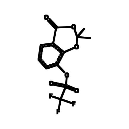 CC1(C)OC(=O)c2cccc(OS(=O)(=O)C(F)(F)F)c2O1